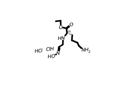 CCOC(=O)[C@H](CCCCN)NCC=NO.Cl.Cl